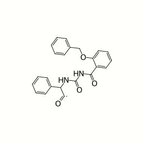 O=[C]C(NC(=O)NC(=O)c1ccccc1OCc1ccccc1)c1ccccc1